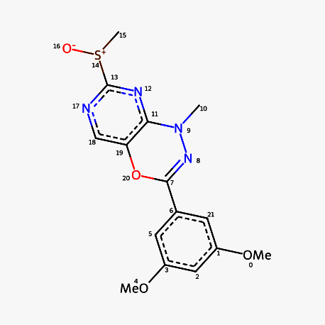 COc1cc(OC)cc(C2=NN(C)c3nc([S+](C)[O-])ncc3O2)c1